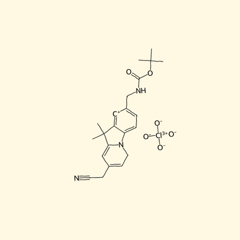 CC(C)(C)OC(=O)NCC1=CC=C2C(=[C+]1)C(C)(C)C1=CC(CC#N)=CCN21.[O-][Cl+3]([O-])([O-])[O-]